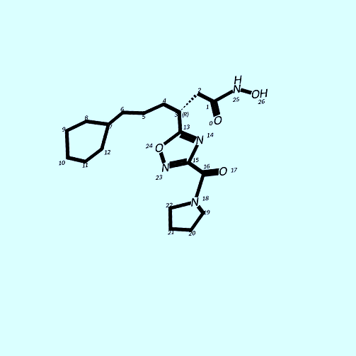 O=C(C[C@@H](CCCC1CCCCC1)c1nc(C(=O)N2CCCC2)no1)NO